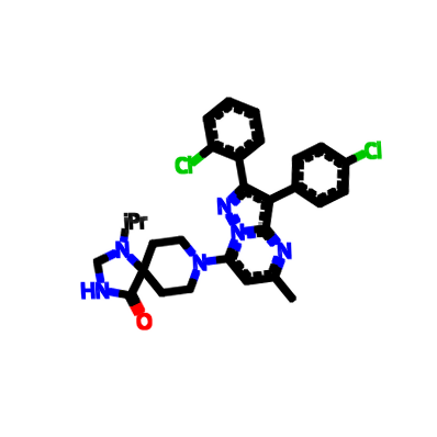 Cc1cc(N2CCC3(CC2)C(=O)NCN3C(C)C)n2nc(-c3ccccc3Cl)c(-c3ccc(Cl)cc3)c2n1